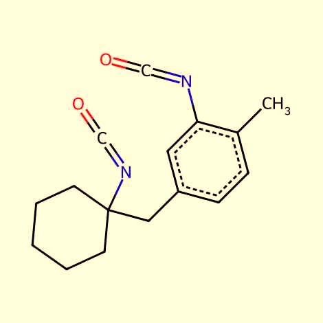 Cc1ccc(CC2(N=C=O)CCCCC2)cc1N=C=O